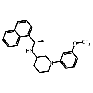 C[C@@H](NC1CCCN(c2cccc(OC(F)(F)F)c2)C1)c1cccc2ccccc12